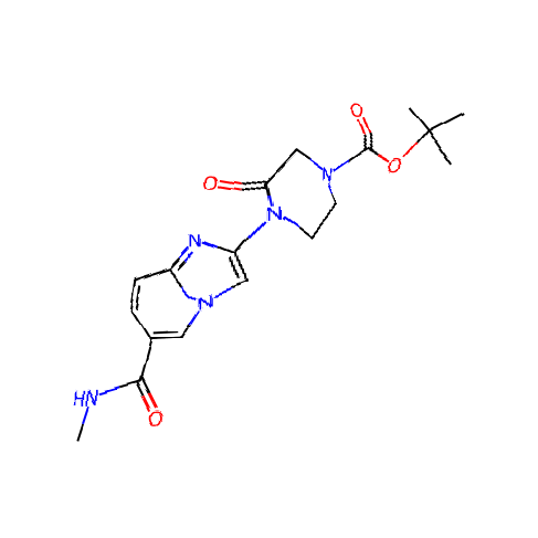 CNC(=O)c1ccc2nc(N3CCN(C(=O)OC(C)(C)C)CC3=O)cn2c1